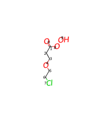 O=C(CCOCCCl)OO